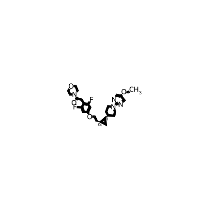 CCOc1cnc(N2CCC([C@H]3C[C@H]3CCOc3cc(F)c(CC(=O)N4CCOCC4)c(F)c3)CC2)nc1